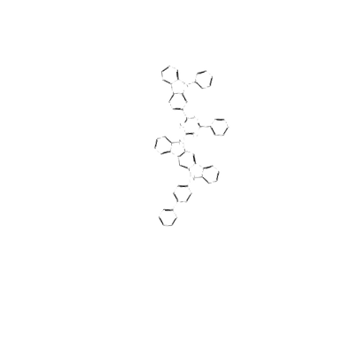 c1ccc(-c2ccc(-n3c4ccccc4c4cc5c(cc43)c3ccccc3n5-c3nc(-c4ccccc4)nc(-c4ccc5c6ccccc6n(-c6ccccc6)c5c4)n3)cc2)cc1